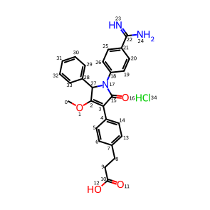 COC1=C(c2ccc(CCC(=O)O)cc2)C(=O)N(c2ccc(C(=N)N)cc2)C1c1ccccc1.Cl